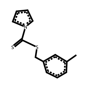 Cc1cccc(CSC(=S)n2cccc2)c1